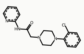 O=C(CN1CCN(c2ccccc2Cl)CC1)Nc1ccccn1